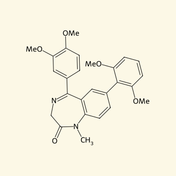 COc1ccc(C2=NCC(=O)N(C)c3ccc(-c4c(OC)cccc4OC)cc32)cc1OC